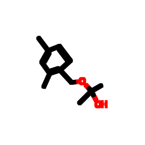 Cc1ccc(COC(C)(C)O)c(C)c1